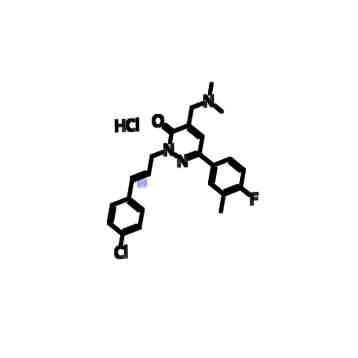 Cc1cc(-c2cc(CN(C)C)c(=O)n(C/C=C/c3ccc(Cl)cc3)n2)ccc1F.Cl